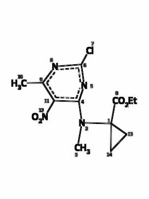 CCOC(=O)C1(N(C)c2nc(Cl)nc(C)c2[N+](=O)[O-])CC1